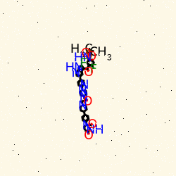 CC(C)S(=O)(=O)Nc1ccc(F)c(C(=O)c2c[nH]c3ncc(-c4ccc(N5CCN(C(=O)CN6CCC(c7ccc(N8CCC(=O)NC8=O)cc7)CC6)CC5)nc4)cc23)c1F